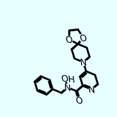 O=C(C1=NCCC(N2CCC3(CC2)OCCO3)=C1)N(O)Cc1ccccc1